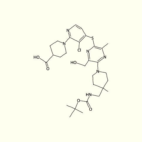 Cc1nc(N2CCC(C)(CNC(=O)OC(C)(C)C)CC2)c(CO)nc1Sc1ccnc(N2CCC(C(=O)O)CC2)c1Cl